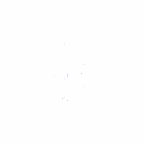 CCC(CF)n1cnc(-c2ccc(F)cc2)c1-c1ccc2ncc(CC(N)=O)n2n1